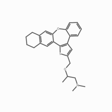 CC(CN(C)C)OCc1cc2c(s1)-c1cc3c(cc1Oc1ccccc1-2)CCCC3